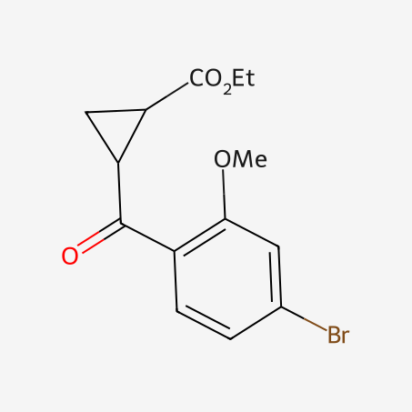 CCOC(=O)C1CC1C(=O)c1ccc(Br)cc1OC